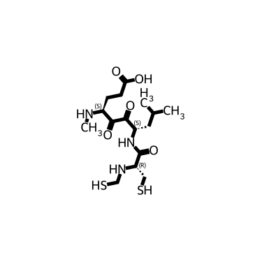 CN[C@@H](CCC(=O)O)C(=O)C(=O)[C@H](CC(C)C)NC(=O)[C@H](CS)NCS